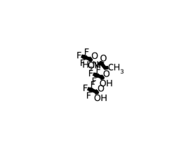 CCC(N)=O.O=C(O)C(F)(F)F.O=C(O)C(F)(F)F.O=C(O)C(F)(F)F